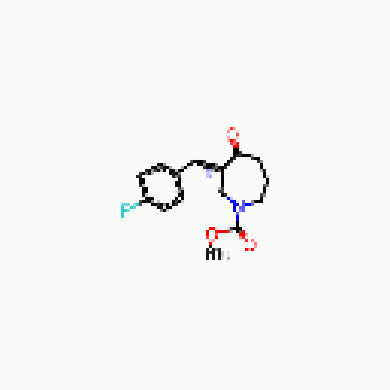 CC(C)(C)OC(=O)N1CCCC(=O)/C(=C/c2ccc(F)cc2)C1